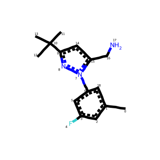 Cc1cc(F)cc(-n2nc(C(C)(C)C)cc2CN)c1